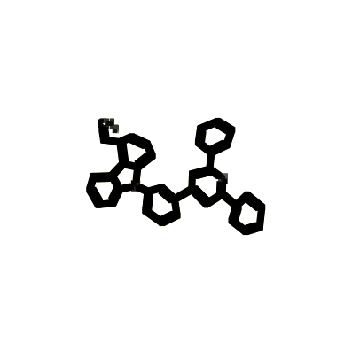 C=Cc1cccc2c1c1ccccc1n2-c1cccc(-c2cc(-c3ccccc3)nc(-c3ccccc3)c2)c1